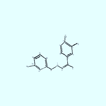 [CH2]c1cc(/C(C)=N\OCc2cccc(C)n2)ccc1Cl